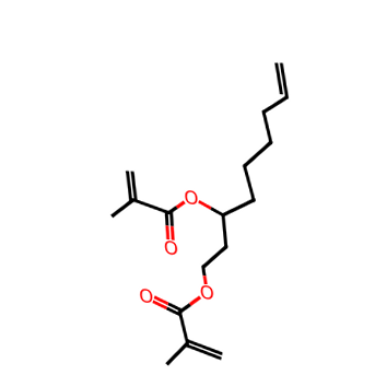 C=CCCCCC(CCOC(=O)C(=C)C)OC(=O)C(=C)C